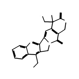 CCC1(O)C(=O)OCc2c1cc1n(c2=O)Cc2c-1nc1ccccc1c2CO